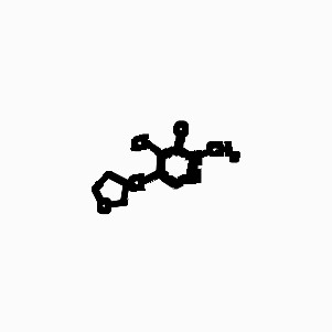 C1CCOC1.Cn1ncc(Cl)c(Cl)c1=O